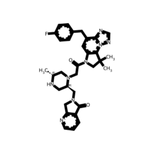 C[C@@H]1CN(CC(=O)N2CC(C)(C)c3c2cc(Cc2ccc(F)cc2)c2ncnn32)[C@@H](CN2Cc3ncccc3C2=O)CN1